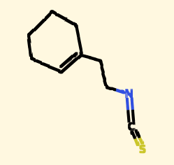 S=C=NCCC1=CCCCC1